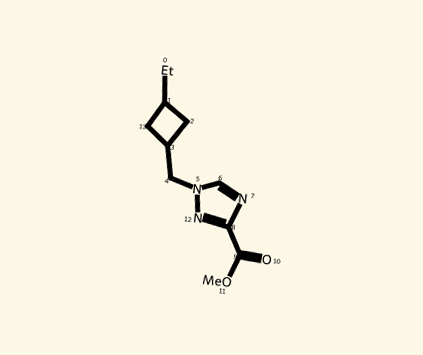 CCC1CC(Cn2cnc(C(=O)OC)n2)C1